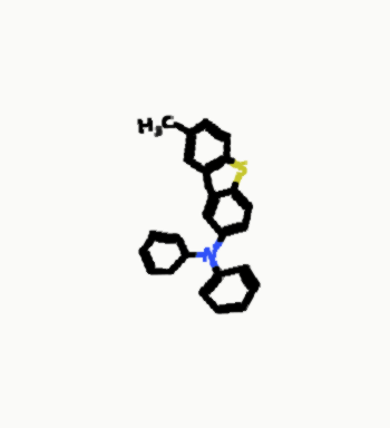 Cc1ccc2sc3ccc(N(c4ccccc4)C4C=CC=CC4)cc3c2c1